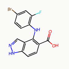 O=C(O)c1ccc2[nH]ncc2c1Nc1ccc(Br)cc1F